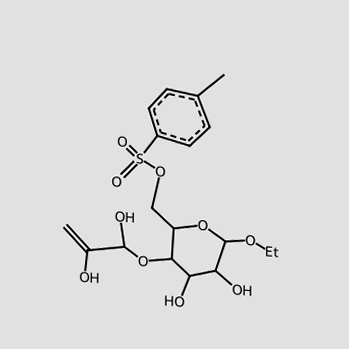 C=C(O)C(O)OC1C(COS(=O)(=O)c2ccc(C)cc2)OC(OCC)C(O)C1O